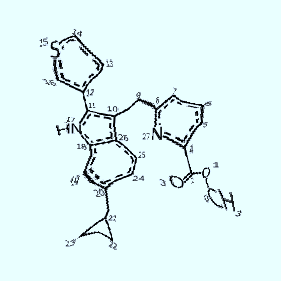 COC(=O)c1cccc(Cc2c(-c3ccsc3)[nH]c3cc(C4CC4)ccc23)n1